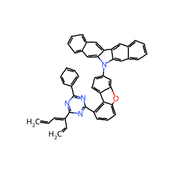 C=C/C=C(\C=C)c1nc(-c2ccccc2)nc(-c2cccc3oc4cc(-n5c6cc7ccccc7cc6c6cc7ccccc7cc65)ccc4c23)n1